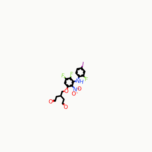 O=CCC(CC=O)COc1cc(F)c(F)c(Nc2ccc(I)cc2F)c1[N+](=O)[O-]